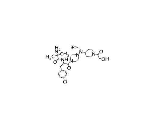 CC(C)CN(C1CCN(C(=O)CO)CC1)N1CCN(C(=O)[C@@H](Cc2ccc(Cl)cc2)NC(=O)C(C)(C)N)CC1